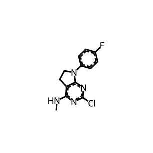 CNc1nc(Cl)nc2c1CCN2c1ccc(F)cc1